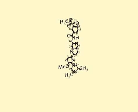 COc1ccc(-c2ccc3cnc(CNC(=O)c4ccc5occ(S(C)(=O)=O)c5c4)cc3n2)nc1N1C[C@@H](C)O[C@@H](C)C1